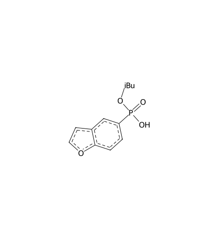 CCC(C)OP(=O)(O)c1ccc2occc2c1